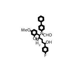 COc1ccc([C@H]([C@@H](N)CCC(O)c2ccc(F)cc2)N(C=O)c2ccc(-c3ccccc3)cc2)c(O)c1